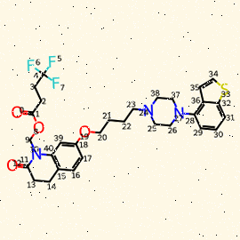 O=C(CCC(F)(F)F)OCN1C(=O)CCc2ccc(OCCCCN3CCN(c4cccc5sccc45)CC3)cc21